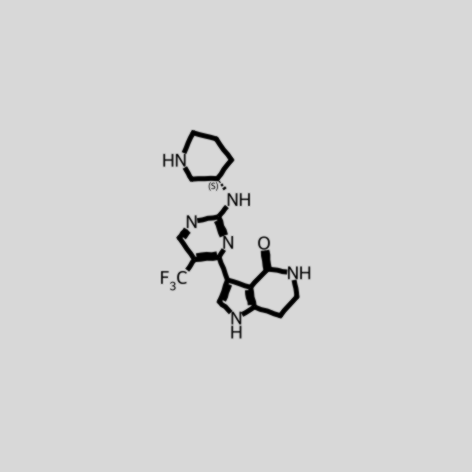 O=C1NCCc2[nH]cc(-c3nc(N[C@H]4CCCNC4)ncc3C(F)(F)F)c21